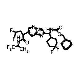 CC(NC(=O)C(CC(F)F)c1cnn2cc(C(NC(=O)OCc3ccccc3)C3CCC(F)(F)CC3)nc2c1)C(F)(F)F